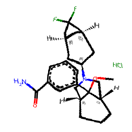 COC1(c2cccc(C(N)=O)c2)[C@@H]2CCC[C@H]1CN([C@H]1C[C@@H]3[C@H](C1)C3(F)F)C2.Cl